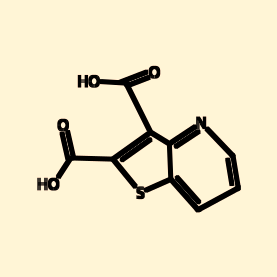 O=C(O)c1sc2cccnc2c1C(=O)O